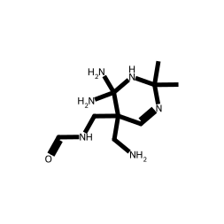 CC1(C)N=CC(CN)(CNC=O)C(N)(N)N1